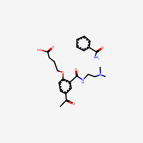 CC(=O)c1ccc(OCCCC(=O)O)c(C(=O)NCCN(C)C)c1.NC(=O)c1ccccc1